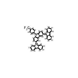 FC(F)(F)c1ccc(-n2c3ccc(-n4c5ccccc5c5ccccc54)cc3c3cc(-n4c5ccccc5c5ccccc54)ccc32)cc1